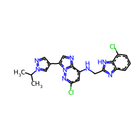 CC(C)n1cc(-c2cnc3c(NCc4nc5cccc(Cl)c5[nH]4)cc(Cl)nn23)cn1